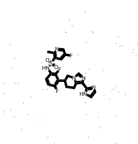 Cc1ncc(F)cc1S(=O)(=O)Nc1ccc(F)c(C2CCc3c(-c4ncc[nH]4)ncn3C2)c1F